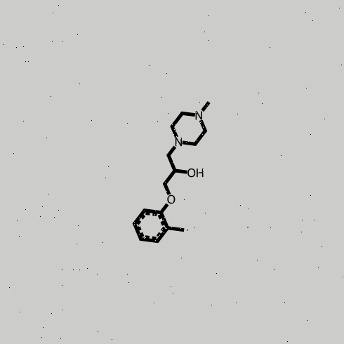 [CH2]c1ccccc1OCC(O)CN1CCN(C)CC1